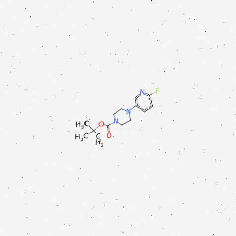 CC(C)(C)OC(=O)N1CCN(c2ccc(F)nc2)CC1